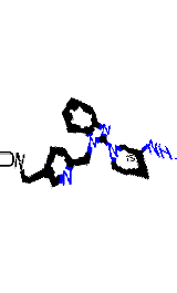 N[C@H]1CCCN(c2nc3ccccc3n2Cc2ccc(CN=O)cn2)C1